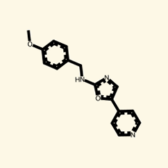 COc1ccc(CNc2ncc(-c3ccncc3)o2)cc1